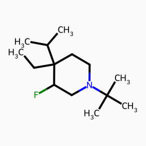 CCC1(C(C)C)CCN(C(C)(C)C)CC1F